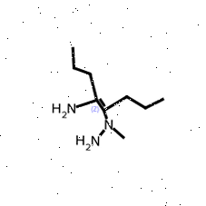 CCC/C(N)=C(\CCC)N(C)N